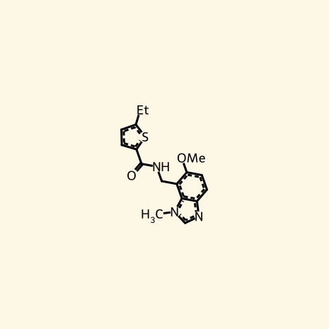 CCc1ccc(C(=O)NCc2c(OC)ccc3ncn(C)c23)s1